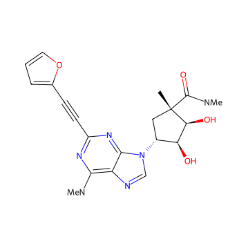 CNC(=O)[C@@]1(C)C[C@@H](n2cnc3c(NC)nc(C#Cc4ccco4)nc32)[C@H](O)[C@@H]1O